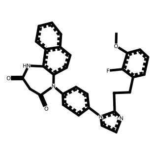 COc1cccc(CCc2nccn2-c2ccc(N3C(=O)CC(=O)Nc4c3ccc3ccccc43)cc2)c1F